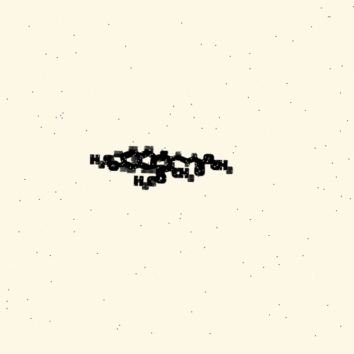 CON=C(C)C(CCCC(=O)OC)Sc1ccc2cc(OC)ccc2c1